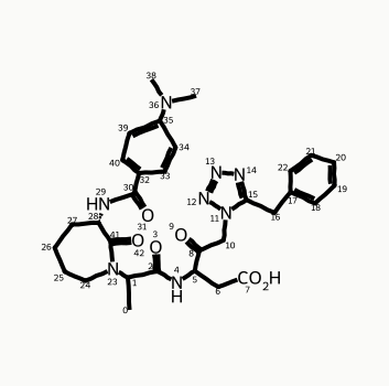 CC(C(=O)NC(CC(=O)O)C(=O)Cn1nnnc1Cc1ccccc1)N1CCCC[C@H](NC(=O)c2ccc(N(C)C)cc2)C1=O